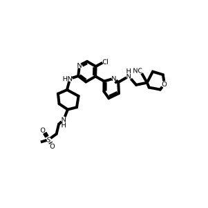 CS(=O)(=O)CCNC1CCC(Nc2cc(-c3cccc(NCC4(C#N)CCOCC4)n3)c(Cl)cn2)CC1